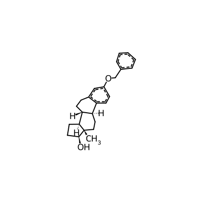 C[C@]12CC[C@@H]3c4ccc(OCc5ccccc5)cc4CC[C@H]3[C@@H]1CC[C@@H]2O